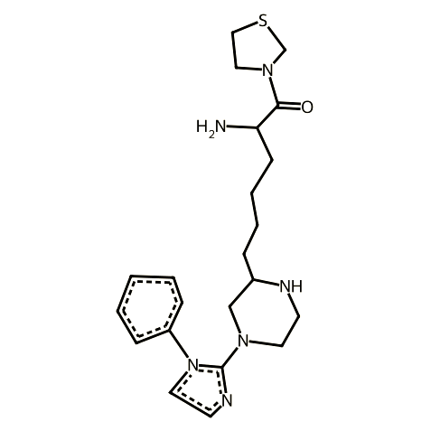 NC(CCCCC1CN(c2nccn2-c2ccccc2)CCN1)C(=O)N1CCSC1